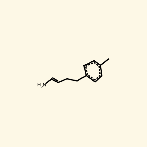 Cc1ccc(CCC=CN)cc1